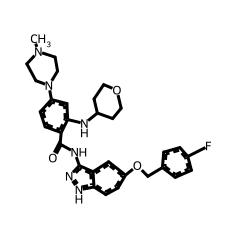 CN1CCN(c2ccc(C(=O)Nc3n[nH]c4ccc(OCc5ccc(F)cc5)cc34)c(NC3CCOCC3)c2)CC1